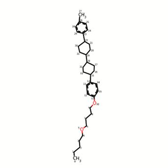 CCCCCOCCCCOc1ccc(C2CCC(C3CCC(c4ccc(C)cc4)CC3)CC2)cc1